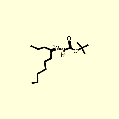 CCCCCC/C(CCC)=N\NC(=O)OC(C)(C)C